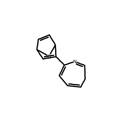 C1=CCC=NC(C2=CC3C=CC2O3)=C1